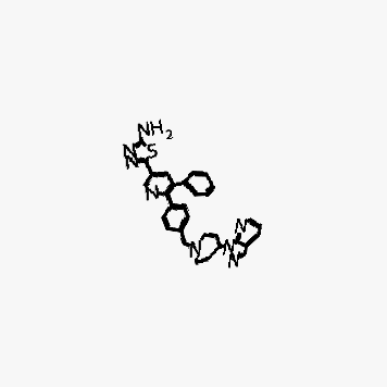 Nc1nnc(-c2cnc(-c3ccc(CN4CCC(n5ncc6cccnc65)CC4)cc3)c(-c3ccccc3)c2)s1